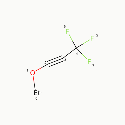 C[CH]OC#CC(F)(F)F